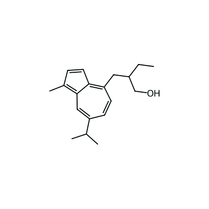 CCC(CO)Cc1ccc(C(C)C)cc2c(C)ccc1-2